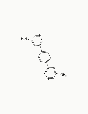 Nc1cncc(-c2ccc(-c3cncc(N)c3)cc2)c1